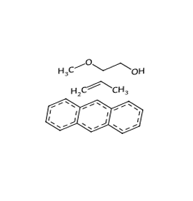 C=CC.COCCO.c1ccc2cc3ccccc3cc2c1